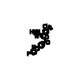 CN(C)c1cc2c(cc1Cl)N(c1nc[nH]n1)CC(C(=O)N1CCC(C#N)(Cc3ccc(F)cc3)CC1)O2